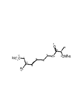 COC(C)C(=O)OCCCCC(CC(=O)O)C(C)=O